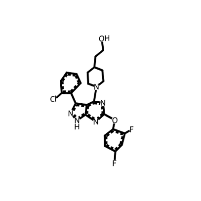 OCCC1CCN(c2nc(Oc3ccc(F)cc3F)nc3[nH]nc(-c4ccccc4Cl)c23)CC1